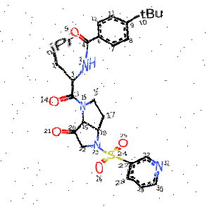 CC(C)CC(NC(=O)c1ccc(C(C)(C)C)cc1)C(=O)N1CCC2C1C(=O)CN2S(=O)(=O)c1cccnc1